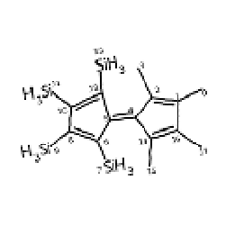 CC1=C(C)C(=C2C([SiH3])=C([SiH3])C([SiH3])=C2[SiH3])C(C)=C1C